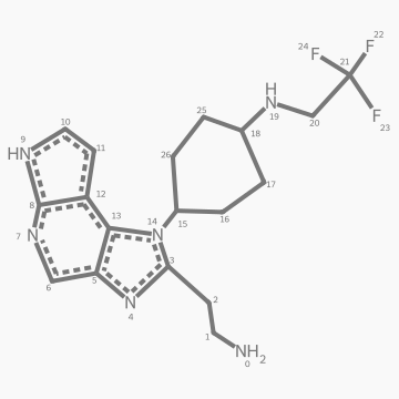 NCCc1nc2cnc3[nH]ccc3c2n1C1CCC(NCC(F)(F)F)CC1